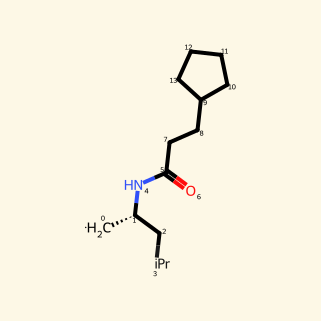 [CH2][C@@H](CC(C)C)NC(=O)CCC1CCCC1